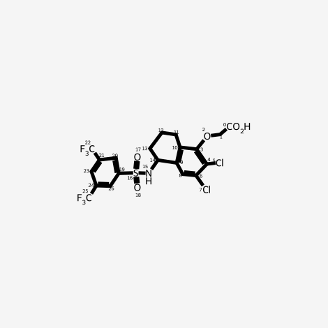 O=C(O)COc1c(Cl)c(Cl)cc2c1CCCC2NS(=O)(=O)c1cc(C(F)(F)F)cc(C(F)(F)F)c1